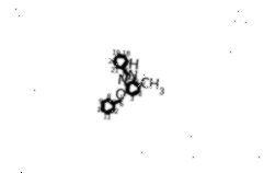 Cc1ccc(OCc2ccccc2)c2nc(-c3ccccc3)[nH]c12